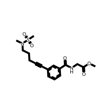 COC(=O)CNC(=O)c1cccc(C#CCCCN(C)S(C)(=O)=O)c1